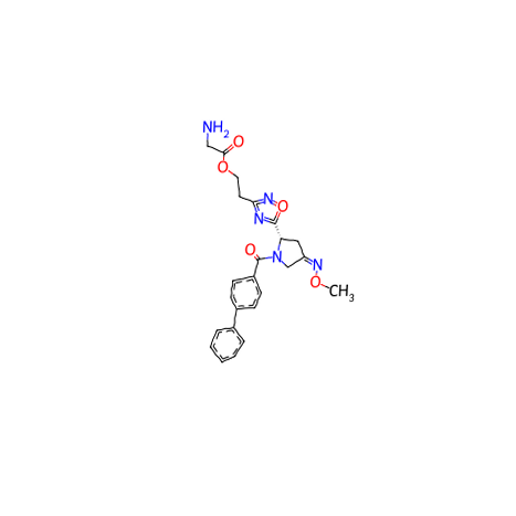 CON=C1C[C@@H](c2nc(CCOC(=O)CN)no2)N(C(=O)c2ccc(-c3ccccc3)cc2)C1